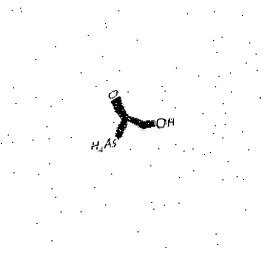 O=C(O)[AsH4]